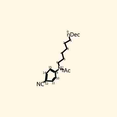 CCCCCCCCCCCCCCCCN(C(C)=O)c1ccc(C#N)cc1